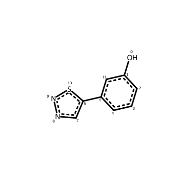 Oc1cccc(-c2cnns2)c1